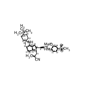 C=C(C#N)Cn1c(C#CCNc2ccc(S(C)(=O)=O)cc2OC)cc2c(N[C@]3(I)CC[C@](C)(N(C)C)CC3)cccc21